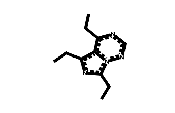 CCc1ncnn2c(CC)nc(CC)c12